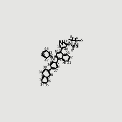 CC1=NC(C)(C)C(C)(C)N1c1cncc(-c2cc3c(c4ccccc24)c2ccc(-c4ccc5ccccc5c4)cc2n3-c2ccccc2)c1